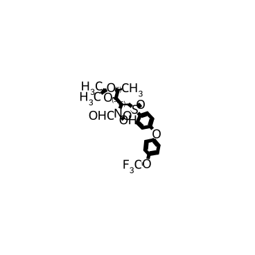 C[C@@H]1OC(C)(C)O[C@H]1[C@@H](CS(=O)(=O)c1ccc(Oc2ccc(OC(F)(F)F)cc2)cc1)N(O)C=O